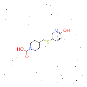 O=C(O)N1CCC(CSc2ccc(O)nc2)CC1